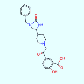 O=C(CN1CCC(C2CN(Cc3ccccc3)C(=O)N2)CC1)c1ccc(O)c(C(=O)O)c1